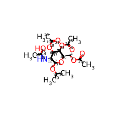 CC(=O)OC[C@H]1O[C@@H](OC(C)C)[C@H](NC(C)O)[C@@H](OC(C)=O)[C@H]1OC(C)=O